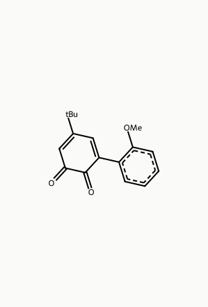 COc1ccccc1C1=CC(C(C)(C)C)=CC(=O)C1=O